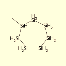 C[SiH]1[SiH2][SiH2][SiH2][SiH2][SiH2][SiH2]1